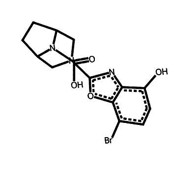 O=C(O)N1C2CCC1CN(c1nc3c(O)ccc(Br)c3o1)C2